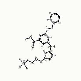 COC(=O)c1cc(OCc2ccccc2)cc(Nc2ccn(COCC[Si](C)(C)C)n2)n1